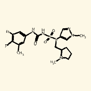 CCc1cc(NC(=O)NS(=O)(=O)N(CC2CCCN2C)c2cnn(C)c2)cc(C)c1F